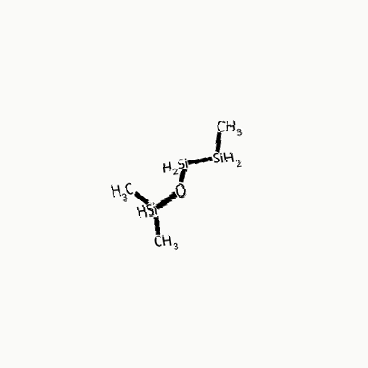 C[SiH2][SiH2]O[SiH](C)C